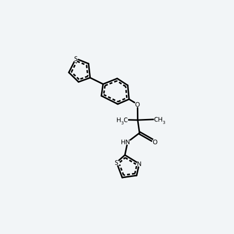 CC(C)(Oc1ccc(-c2ccsc2)cc1)C(=O)Nc1nccs1